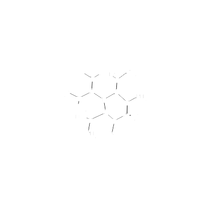 PPP(P)P(P(P)P)P(P(P(P)P)P(P)P)P(P(P)P)P(P)P